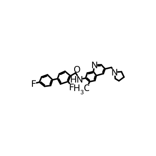 Cc1cc2cc(CN3CCCC3)cnc2cc1NC(=O)c1ccc(-c2ccc(F)cc2)cc1F